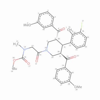 COc1cccc(C(=O)[C@H]2CN(C(=O)CN(C)C(=O)OC(C)(C)C)C[C@H](C(=O)c3cccc(OC)c3)C2c2cccc(F)c2C)c1